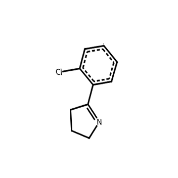 Clc1c[c]ccc1C1=NCCC1